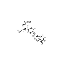 CC#C[C@@H](CC(=O)OC)c1ccc(OC[C@H]2COc3c(Cl)cccc3O2)cc1